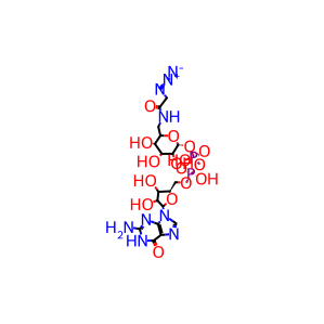 [N-]=[N+]=NCC(=O)NCC1O[C@H](OP(=O)(O)OP(=O)(O)OC[C@H]2O[C@@H](n3cnc4c(=O)[nH]c(N)nc43)C(O)C2O)C(O)C(O)[C@@H]1O